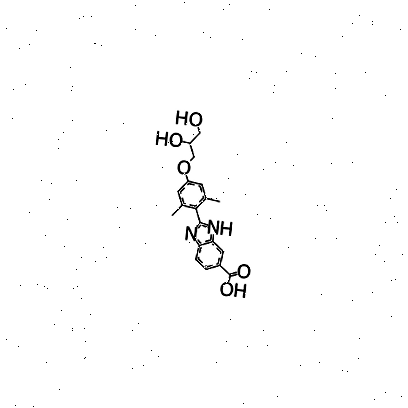 Cc1cc(OCC(O)CO)cc(C)c1-c1nc2ccc(C(=O)O)cc2[nH]1